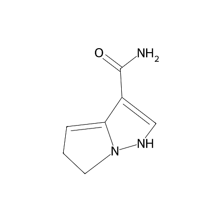 NC(=O)C1=CNN2CCC=C12